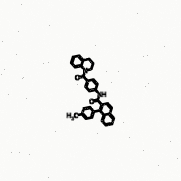 Cc1ccc(-c2c(C(=O)Nc3ccc(C(=O)N4CCCc5ccccc54)cc3)ccc3ccccc23)cc1